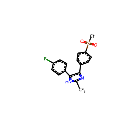 CCS(=O)(=O)c1ccc(-c2nc(C(F)(F)F)[nH]c2-c2ccc(F)cc2)cc1